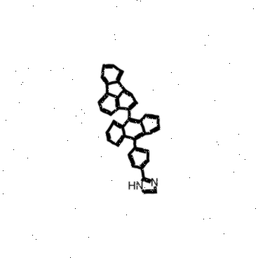 c1ccc2c(c1)-c1cccc3c(-c4c5ccccc5c(-c5ccc(-c6ncc[nH]6)cc5)c5ccccc45)ccc-2c13